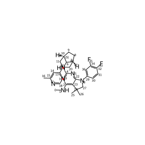 CNc1nc(NC2[C@@H]3CC[C@H]2CN(c2cc(C)ncn2)C3)nc2c1C(C)(C)CN2c1ccc(F)c(F)c1